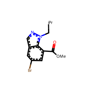 COC(=O)c1cc(Br)cc2cnn(CC(C)C)c12